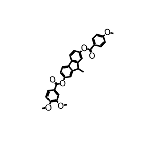 COc1ccc(C(=O)Oc2ccc3c(c2)C(C)c2cc(OC(=O)c4ccc(OC)c(OC)c4)ccc2-3)cc1